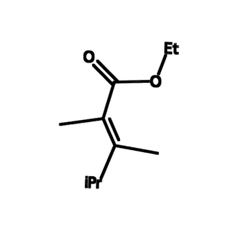 CCOC(=O)C(C)=C(C)C(C)C